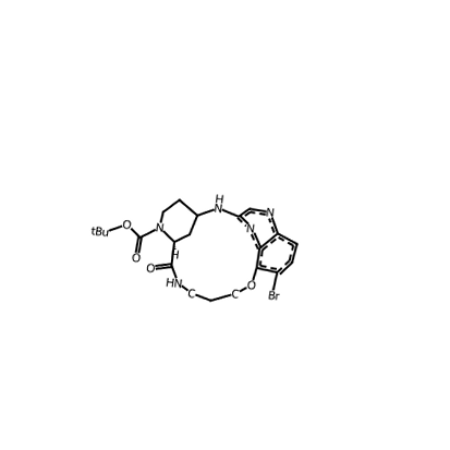 CC(C)(C)OC(=O)N1CCC2C[C@H]1C(=O)NCCCOc1c(Br)ccc3ncc(nc13)N2